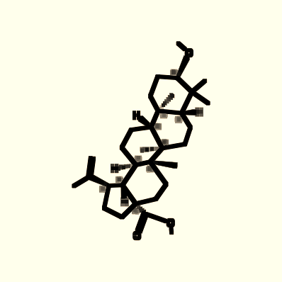 C=C(C)[C@@H]1CC[C@]2(C(=O)OC)CC[C@]3(C)[C@H](CC[C@@H]4[C@@]5(C)CC[C@@H](OC)C(C)(C)[C@@H]5CC[C@]43C)[C@@H]12